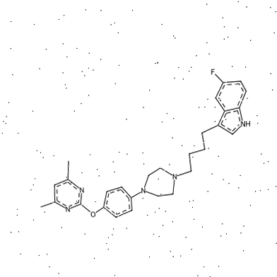 Cc1cc(C)nc(Oc2ccc(N3CCN(CCCCc4c[nH]c5ccc(F)cc45)CC3)cc2)n1